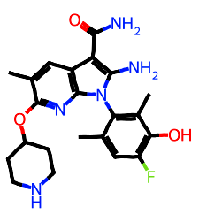 Cc1cc2c(C(N)=O)c(N)n(-c3c(C)cc(F)c(O)c3C)c2nc1OC1CCNCC1